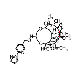 CC[C@H]1OC(=O)[C@@](C)(F)C(=O)[C@H](C)[C@@H](C)[C@@]2(C)C[C@@H](C)/C(=N\C(C)=O)[C@H](C)[C@@H](OC/C(=N\OCc3ccc(-n4cccn4)nc3)CO2)[C@]1(C)O